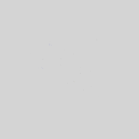 O=COCCc1c[nH]c2c(=O)[nH]c3ccc(S(=O)(=O)Cc4c(Cl)cccc4Cl)cc3c12